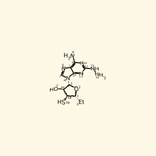 CC[C@H]1O[C@@H](n2cnc3c(N)nc(NN)nc32)[C@H](O)[C@@H]1S